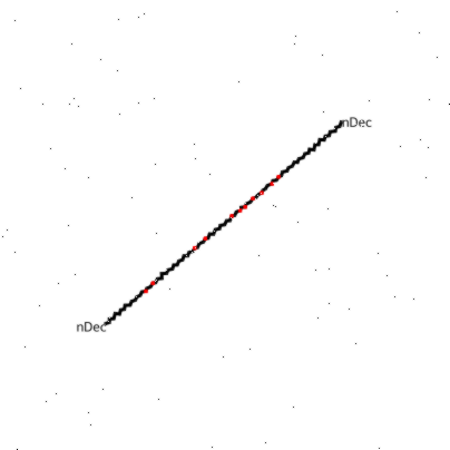 CCCCCCCCCCCCCCCCCCCCCCCCCCCCCCCCCCCCCCCCCCCCCCCCCCCCCCCCCCCCCCCCCCCCCCCCCCCCCCCCCCCCCCCCCCCCCCCCCCCCCCCCCCCCCCC